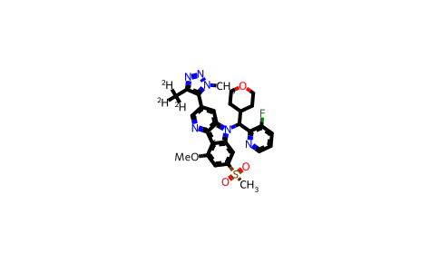 [2H]C([2H])([2H])c1nnn(C)c1-c1cnc2c3c(OC)cc(S(C)(=O)=O)cc3n(C(c3ncccc3F)C3CCOCC3)c2c1